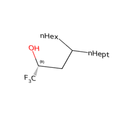 CCCCCCCC(CCCCCC)C[C@@H](O)C(F)(F)F